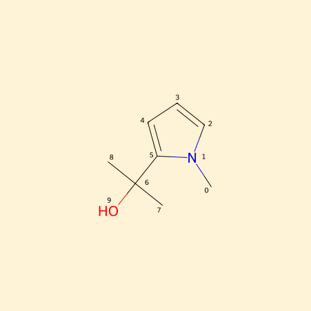 Cn1cccc1C(C)(C)O